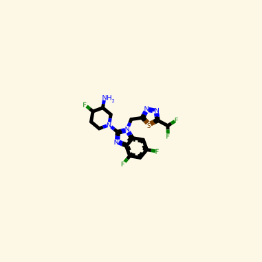 NC1CN(c2nc3c(F)cc(F)cc3n2Cc2nnc(C(F)F)s2)CCC1F